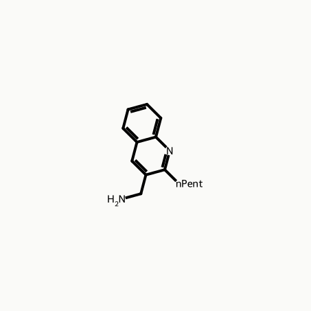 CCCCCc1nc2ccccc2cc1CN